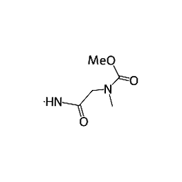 COC(=O)N(C)CC([NH])=O